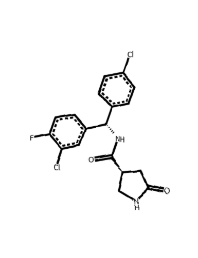 O=C1C[C@H](C(=O)N[C@@H](c2ccc(Cl)cc2)c2ccc(F)c(Cl)c2)CN1